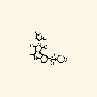 Cc1cc(N2C(=O)c3c(C)nc4ccc(S(=O)(=O)N5CCOCC5)cc4c3C2=O)n(C)n1